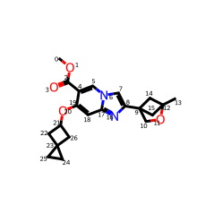 COC(=O)c1cn2cc(C34COC(C)(C3)C4)nc2cc1OC1CC2(CC2)C1